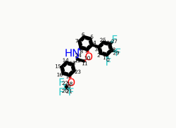 Fc1cc(-c2cccc3c2OC[C@H](c2cccc(OC(F)(F)F)c2)N3)cc(F)c1F